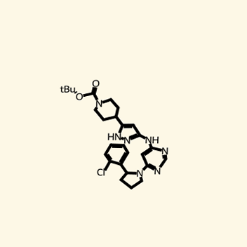 CC(C)(C)OC(=O)N1CCC(c2cc(Nc3cc(N4CCCC4c4ccccc4Cl)ncn3)n[nH]2)CC1